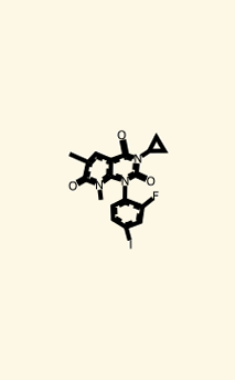 Cc1cc2c(=O)n(C3CC3)c(=O)n(-c3ccc(I)cc3F)c2n(C)c1=O